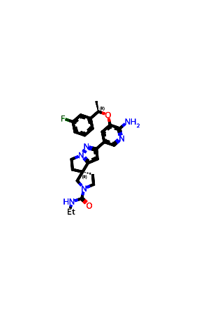 CCNC(=O)N1CC[C@@]2(CCn3nc(-c4cnc(N)c(O[C@H](C)c5cccc(F)c5)c4)cc32)C1